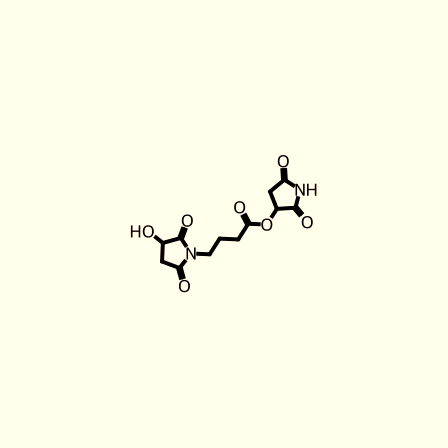 O=C1CC(OC(=O)CCCN2C(=O)CC(O)C2=O)C(=O)N1